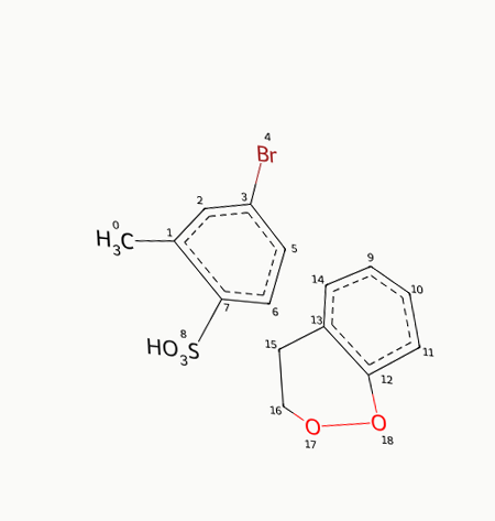 Cc1cc(Br)ccc1S(=O)(=O)O.c1ccc2c(c1)CCOO2